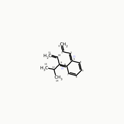 C=C/C=c1/cccc/c1=C(/C=C)C(C)C